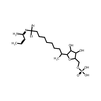 C/C=C\C(N)=N/C(CC)(CCCCCCCC(C)C1OC(COP(=O)(O)O)C(O)C1O)C(C)=O